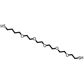 SCCCCOCCOCCOCCOCCOCCS